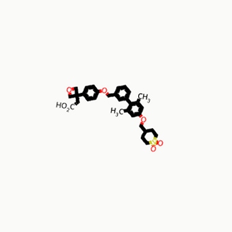 Cc1cc(OCC2CCS(=O)(=O)CC2)cc(C)c1-c1cccc(COc2ccc(C3(CC(=O)O)COC3)cc2)c1